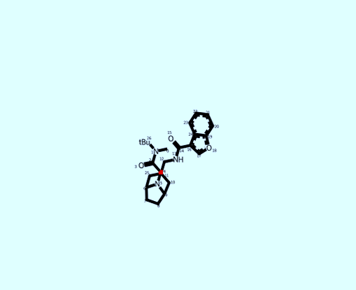 CN(C(=O)CN1C2CCC1CC(CNC(=O)c1coc3ccccc13)C2)C(C)(C)C